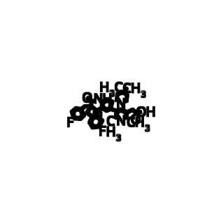 Cc1nc(C)c(-c2ccc3c(c2)C(=O)C(Cc2ccc(F)cc2)(Cc2ccc(F)cc2)C(=O)N3)c(N2CCC(C)(C)CC2)c1CC(=O)O